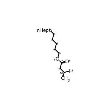 CCCCCCCCCCCCOC(=O)CC(C)I